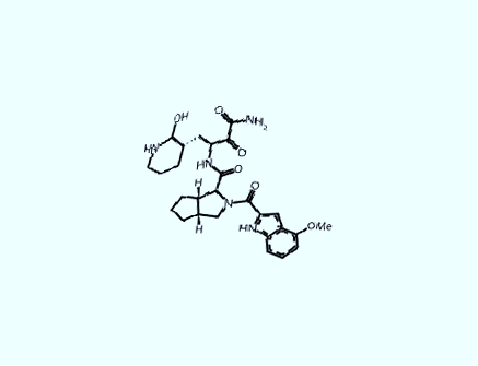 COc1cccc2[nH]c(C(=O)N3C[C@@H]4CCC[C@@H]4[C@H]3C(=O)NC(C[C@@H]3CCCNC3O)C(=O)C(N)=O)cc12